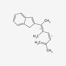 C=C(C)/C=C\C(C)=C(/C)C1=Cc2ccccc2C1